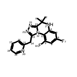 CC1(C)Nc2cc(F)cc(F)c2-n2c(Cc3ccccn3)nnc21